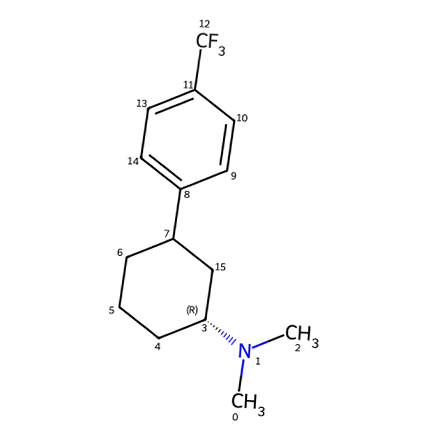 CN(C)[C@@H]1CCCC(c2ccc(C(F)(F)F)cc2)C1